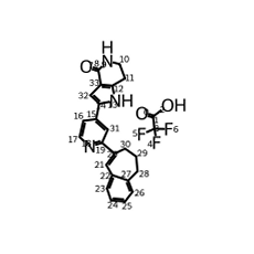 O=C(O)C(F)(F)F.O=C1NCCc2[nH]c(-c3ccnc(C4=Cc5ccccc5CCC4)c3)cc21